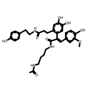 COc1cc(/C=C(/C(=O)NCCCCNC(C)=O)c2cc(O)c(O)cc2CCC(=O)NCCc2ccc(O)cc2)ccc1O